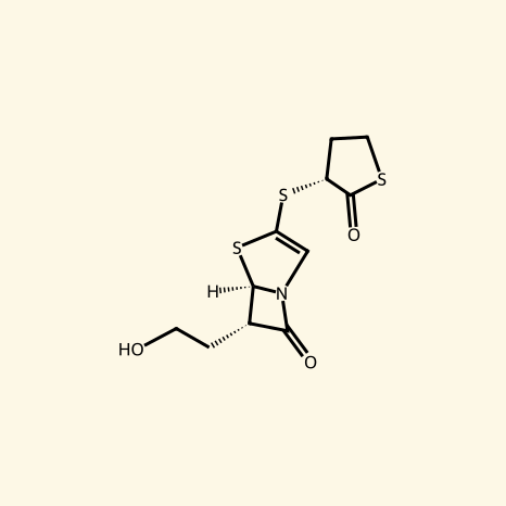 O=C1SCC[C@H]1SC1=CN2C(=O)[C@H](CCO)[C@H]2S1